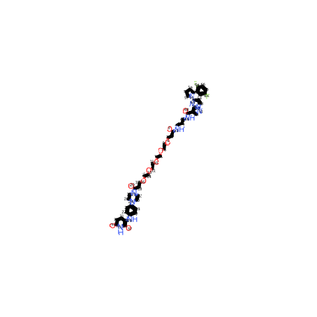 O=C(CCOCCOCCOCCOCCOCCC(=O)N1CCN(c2ccc(NC3CCC(=O)NC3=O)cc2)CC1)NCCCNC(=O)c1cnn2ccc(N3CCC[C@@H]3c3cc(F)ccc3F)nc12